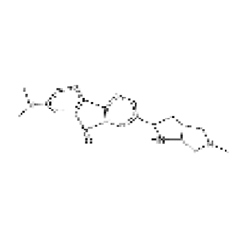 CN1CC2CC(c3ccc4c(c3)C(=O)c3cc(N(C)C)ccc3-4)NC2C1